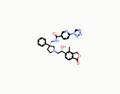 Cc1c([C@@H](O)CN2CC[C@@](CNC(=O)c3ccc(-n4cnnn4)nc3)(c3ccccc3)C2)ccc2c1COC2=O